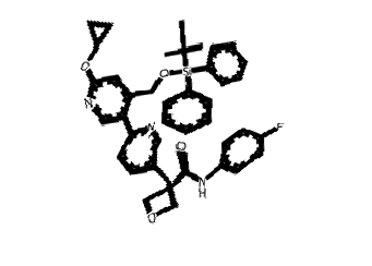 CC(C)(C)[Si](OCc1cc(OC2CC2)ncc1-c1ccc(C2(C(=O)Nc3ccc(F)cc3)COC2)cn1)(c1ccccc1)c1ccccc1